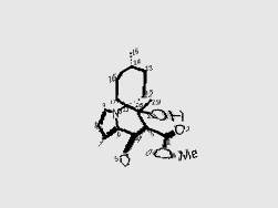 COC(=O)C1C(=O)c2cccn2[C@]2(CC[C@@H](C)CC2)C1(C)O